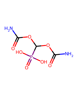 NC(=O)OC(OC(N)=O)P(=O)(O)O